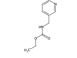 CCOC(=O)NCc1cccnc1